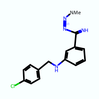 CN/N=N\C(=N)c1cccc(NCc2ccc(Cl)cc2)c1